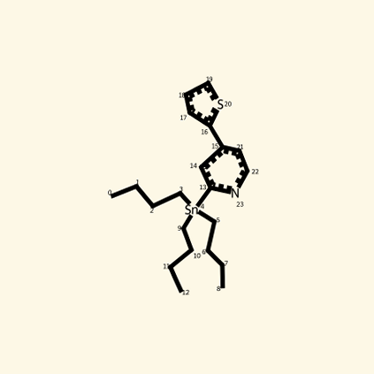 CCC[CH2][Sn]([CH2]CCC)([CH2]CCC)[c]1cc(-c2cccs2)ccn1